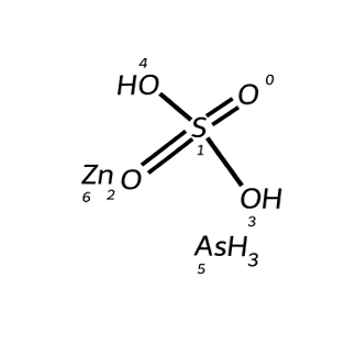 O=S(=O)(O)O.[AsH3].[Zn]